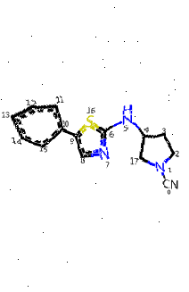 N#CN1CCC(Nc2ncc(-c3ccccc3)s2)C1